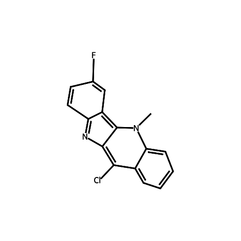 Cn1c2c3cc(F)ccc3nc-2c(Cl)c2ccccc21